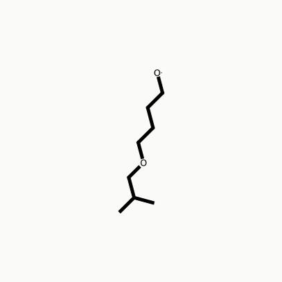 CC(C)COCCCC[O]